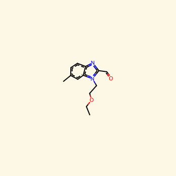 CCOCCn1c(C=O)nc2ccc(C)cc21